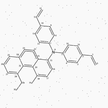 C=Cc1ccc(N(c2ccc(C=C)cc2)c2ccc(C)c3c2=C=C=c2cccc(CC)c2=3)cc1